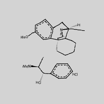 CN[C@@H](C)[C@@H](O)c1ccccc1.COc1ccc2c(c1)[C@]13CCCC[C@@H]1[C@H](C2)N(C)CC3.Cl